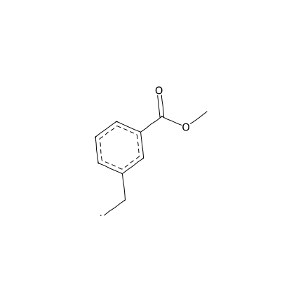 [CH2]Cc1cccc(C(=O)OC)c1